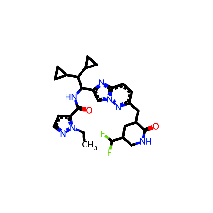 CCn1nccc1C(=O)NC(c1cn2nc(CC3CC(C(F)F)CNC3=O)ccc2n1)C(C1CC1)C1CC1